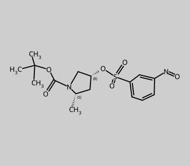 C[C@H]1C[C@@H](OS(=O)(=O)c2cccc(N=O)c2)CN1C(=O)OC(C)(C)C